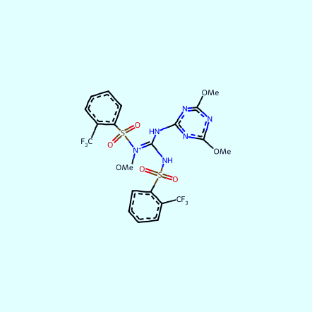 COc1nc(NC(NS(=O)(=O)c2ccccc2C(F)(F)F)=[N+](OC)S(=O)(=O)c2ccccc2C(F)(F)F)nc(OC)n1